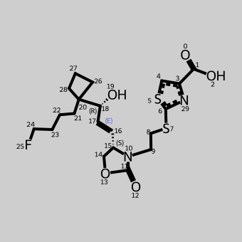 O=C(O)c1csc(SCCN2C(=O)OC[C@@H]2/C=C/[C@@H](O)C2(CCCCF)CCC2)n1